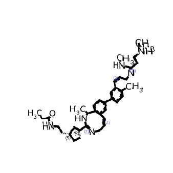 CCC(=O)NCC[C@H]1CC[C@@H](/C2=N/C/C=C\c3cc(-c4ccc(C)c(/C=C\C/N=C(/CCNC)NC)c4)ccc3C(C)N2)C1